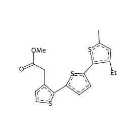 CCc1cc(C)sc1-c1ccc(-c2sccc2CC(=O)OC)s1